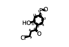 O=Pc1ccc(C(=O)CCCl)c(O)c1